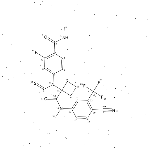 CNC(=O)c1ccc(N(C=S)C2(C(=O)N(C)c3cnc(C#N)c(C(F)(F)F)c3)CCC2)cc1F